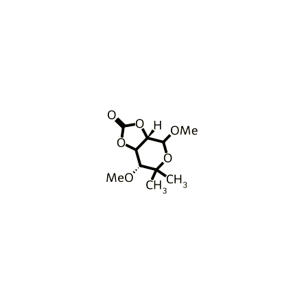 COC1OC(C)(C)[C@H](OC)C2OC(=O)O[C@H]12